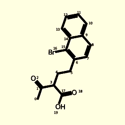 CC(=O)C(CCc1ccc2ccccc2c1Br)C(=O)O